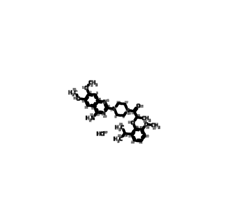 COc1cc2nc(N3CCN(C(=O)C(C)Oc4c(OC)cccc4C(C)C)CC3)nc(N)c2cc1OC.Cl